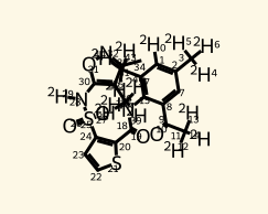 [2H]c1c(C([2H])([2H])[2H])cc(C(=O)C([2H])([2H])[2H])c(N([2H])C(=O)c2sccc2S(=O)(=O)N([2H])c2onc(C)c2C([2H])([2H])[2H])c1C([2H])([2H])[2H]